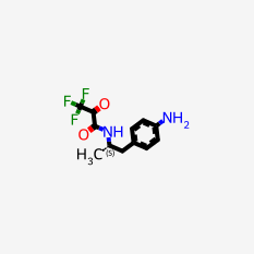 C[C@@H](Cc1ccc(N)cc1)NC(=O)C(=O)C(F)(F)F